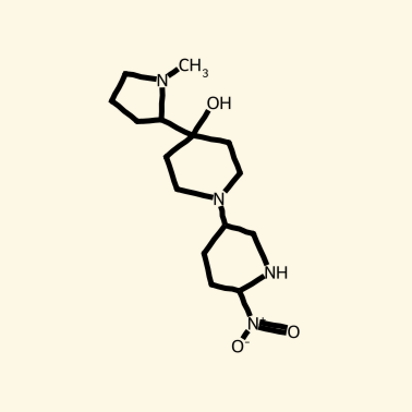 CN1CCCC1C1(O)CCN(C2CCC([N+](=O)[O-])NC2)CC1